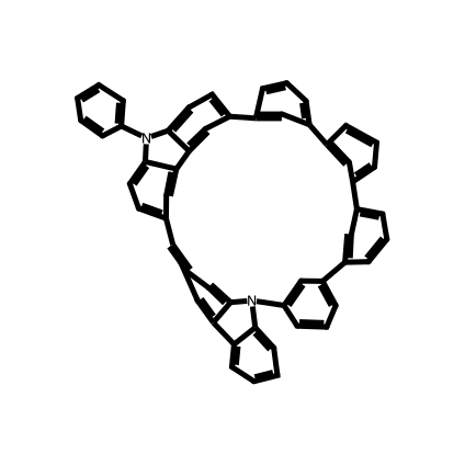 c1ccc(-n2c3ccc4cc3c3cc(ccc32)c2ccc3c(c2)c2ccccc2n3c2cccc(c2)c2cccc(c2)c2cccc(c2)c2cccc4c2)cc1